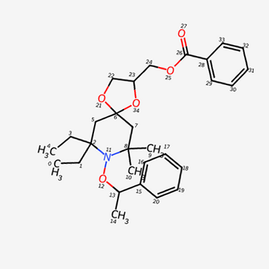 CCC1(CC)CC2(CC(C)(C)N1OC(C)c1ccccc1)OCC(COC(=O)c1ccccc1)O2